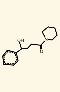 O=C(CCC(O)c1ccccc1)N1CCCCC1